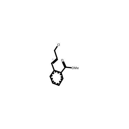 COC(=O)c1ccccc1/C=C/CCl